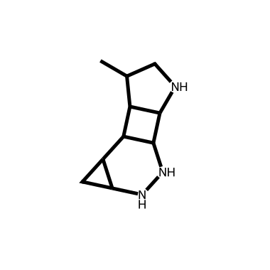 CC1CNC2C3NNC4CC4C3C12